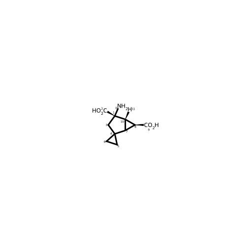 N[C@@]1(C(=O)O)CC2(CC2)C2[C@H](C(=O)O)[C@H]21